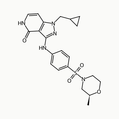 C[C@H]1CN(S(=O)(=O)c2ccc(Nc3nn(CC4CC4)c4cc[nH]c(=O)c34)cc2)CCO1